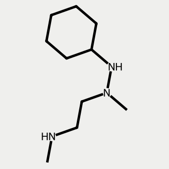 CNCCN(C)NC1CCCCC1